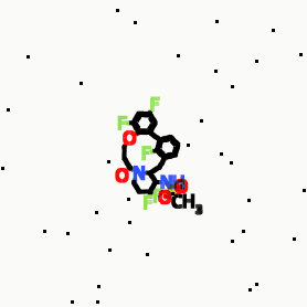 CS(=O)(=O)NC1C2Cc3cccc(c3F)-c3cc(F)cc(F)c3OCCC(=O)N2CCC1(F)F